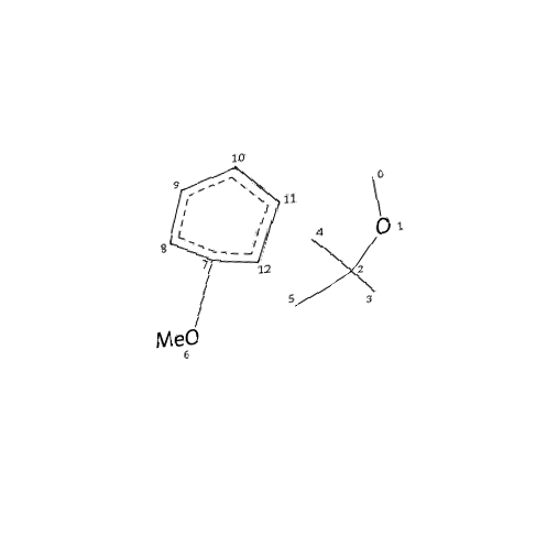 COC(C)(C)C.COc1ccccc1